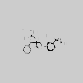 CNC(=N)NC(C=O)(COc1cccc(/C(C)=N\O)c1)CC1CCCCC1